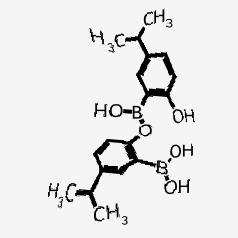 CC(C)c1ccc(O)c(B(O)Oc2ccc(C(C)C)cc2B(O)O)c1